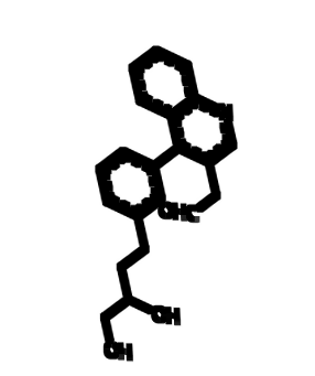 O=CCc1cnc2ccccc2c1-c1cccc(CCC(O)CO)c1